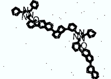 c1ccc(-c2nc(-c3cccc(-c4ccc5c(-c6ccc7cc8oc9c(-c%10nc(-c%11ccccc%11)nc(-c%11ccccc%11)n%10)cccc9c8cc7c6)cccc5c4)c3)nc(-c3cccc4c3oc3cc5ccc(-c6ccc7ccccc7c6)cc5cc34)n2)cc1